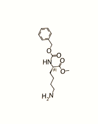 COC(=O)[C@@H](CCCCN)NC(=O)OCc1ccccc1